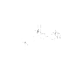 Cc1cc2c(C3CCC(NC4CC4)CC3)n[nH]c2cc1-c1cc(C)c2ncnn2c1